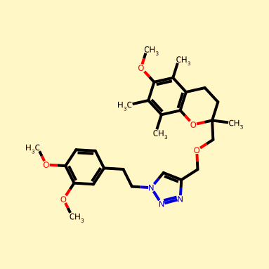 COc1ccc(CCn2cc(COCC3(C)CCc4c(C)c(OC)c(C)c(C)c4O3)nn2)cc1OC